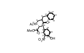 COC(=O)CN(C(=O)C(CSC(C)=O)Cc1ccccc1)c1ccc(O)c([N+](=O)[O-])c1